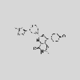 Cc1nc2c(C3CCC(=O)CC3)nc(N3CCOC(c4cnn(C)c4)C3)nc2c(=O)n1C